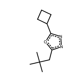 CC(C)(C)Cc1nnc(C2CCC2)o1